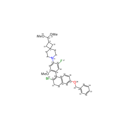 COc1cc(N2CCC3(CC2)CC(C(OC)OC)C3)c(F)cc1C1=C(Br)CCc2cc(OCc3ccccc3)ccc21